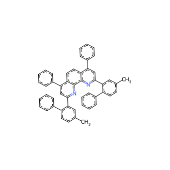 Cc1ccc(-c2ccccc2)c(-c2cc(-c3ccccc3)c3ccc4c(-c5ccccc5)cc(-c5cc(C)ccc5-c5ccccc5)nc4c3n2)c1